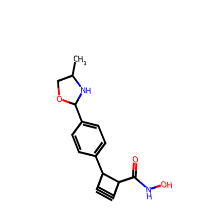 CC1COC(c2ccc(C3C#CC3C(=O)NO)cc2)N1